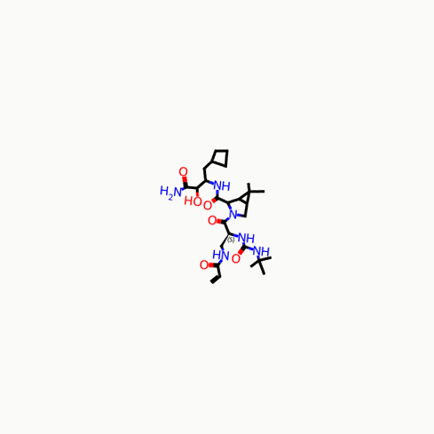 C=CC(=O)NC[C@H](NC(=O)NC(C)(C)C)C(=O)N1CC2C(C1C(=O)NC(CC1CCC1)C(O)C(N)=O)C2(C)C